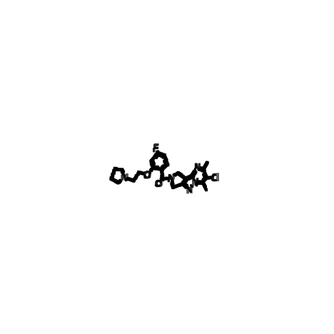 Cc1nc2c3c(nn2c(C)c1Cl)CN(C(=O)c1ccc(F)cc1OCCN1CCCC1)C3